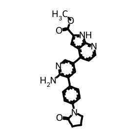 COC(=O)c1cc2c(-c3cnc(N)c(-c4ccc(N5CCCC5=O)cc4)c3)ccnc2[nH]1